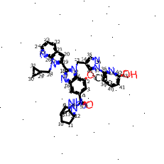 COc1cc(C(=O)N2CC3CCC2C3N)cc2nc(-c3cc4cccnc4n3CC3CC3)n(Cc3cnn(-c4cccc(O)n4)c3)c12